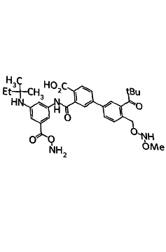 CCC(C)(C)Nc1cc(NC(=O)c2cc(-c3ccc(CONOC)c(C(=O)C(C)(C)C)c3)ccc2C(=O)O)cc(C(=O)ON)c1